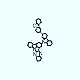 c1ccc2nc3c(nc2c1)c1cc(-n2c4ccccc4c4ccc(-c5ccc6oc7ccccc7c6c5)cc42)cc2c4ccccc4n3c21